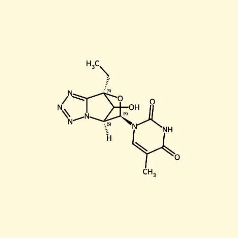 CC[C@]12O[C@@H](n3cc(C)c(=O)[nH]c3=O)[C@H](C1O)n1nnnc12